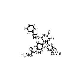 COc1ccc(N(C(=O)CCl)C(C(=O)NCCc2ccccc2)c2ccc(NC(=O)CN)cc2)cc1C